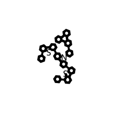 c1ccc(-c2cccc3c2sc2c(-c4ccc5c6ccc(-c7cccc8c7sc7c(-c9ccccc9)cccc78)cc6n(-c6cccc(-c7ccc8c9ccccc9c9ccccc9c8c7)c6)c5c4)cccc23)cc1